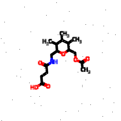 CC(=O)OCC1OC(CNC(=O)CCC(=O)O)C(C)C(C)C1C